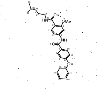 COc1cc(NC(=O)c2ccc(Oc3ccccc3)cc2)ccc1C(=O)NCCCN(C)C